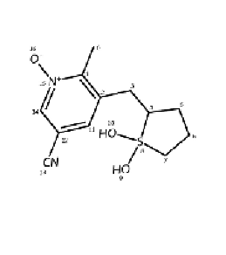 Cc1c(CC2CCCS2(O)O)cc(C#N)c[n+]1[O-]